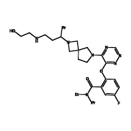 CCN(C(=O)c1cc(F)ccc1Oc1nncnc1N1CCC2(C1)CN(C(CCNCCO)C(C)C)C2)C(C)C